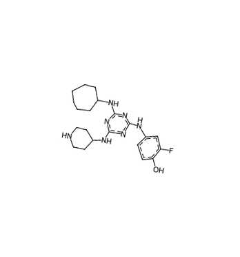 Oc1ccc(Nc2nc(NC3CCCCCC3)nc(NC3CCNCC3)n2)cc1F